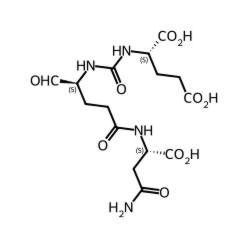 NC(=O)C[C@H](NC(=O)CC[C@@H](C=O)NC(=O)N[C@@H](CCC(=O)O)C(=O)O)C(=O)O